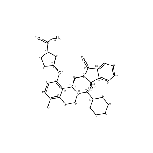 CC(=O)N1CC[C@H](Oc2ccc(Br)c3c2[C@@H](CN2C(=O)c4ccccc4C2=O)N(C(=O)C2CCCCC2)CC3)C1